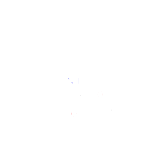 Cc1ccccc1-c1ccccc1NC(=O)OC(C)(C)C